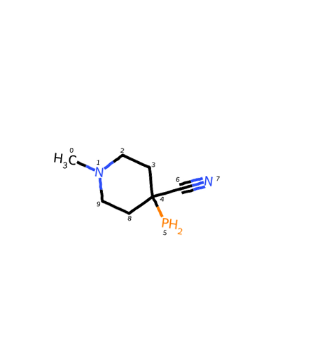 CN1CCC(P)(C#N)CC1